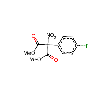 COC(=O)C(C(=O)OC)(c1ccc(F)cc1)[N+](=O)[O-]